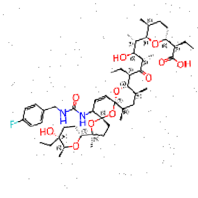 CC[C@@H](C(=O)[C@@H](C)[C@@H](O)[C@H](C)[C@@H]1O[C@@H]([C@@H](CC)C(=O)O)CC[C@@H]1C)[C@H]1O[C@]2(C=CC(NC(=O)NCc3ccc(F)cc3)[C@]3(CC[C@@](C)([C@H]4CC[C@](O)(CC)[C@H](C)O4)O3)O2)[C@H](C)C[C@@H]1C